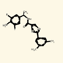 Cc1cc(C)cc(-c2nc(C(=O)N[C@H](C)c3cc(F)c(N)c(F)c3)co2)c1